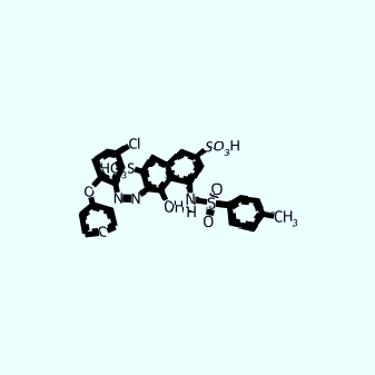 Cc1ccc(S(=O)(=O)Nc2cc(S(=O)(=O)O)cc3cc(S(=O)(=O)O)c(/N=N\c4cc(Cl)ccc4Oc4ccccc4)c(O)c23)cc1